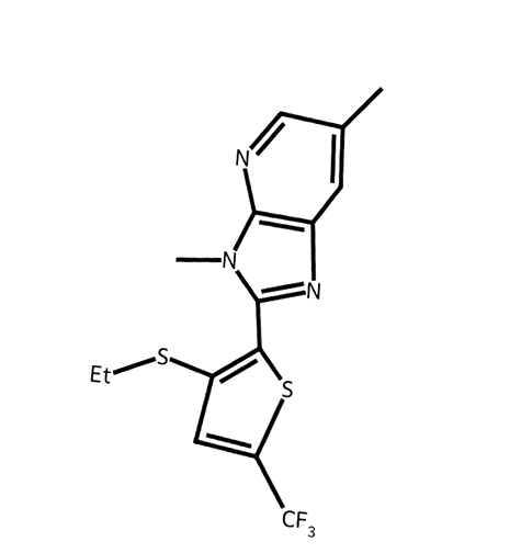 CCSc1cc(C(F)(F)F)sc1-c1nc2cc(C)cnc2n1C